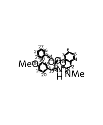 CN[C@@H](Cc1ccccc1)C(=O)N[C@@H](Cc1ccc(OC)cc1)C(=O)OCc1ccccc1